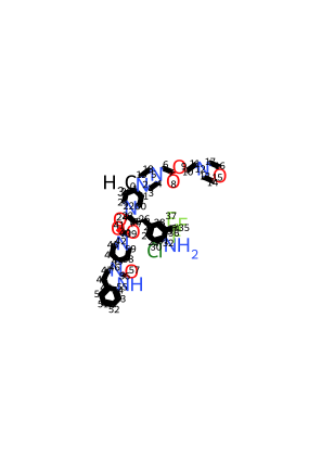 CC1(N2CCN(CC(=O)OCCN3CCOCC3)CC2)CCN(C(=O)[C@@H](Cc2cc(Cl)c(N)c(C(F)(F)F)c2)OC(=O)N2CCC(N3CCc4ccccc4NC3=O)CC2)CC1